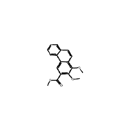 COC(=O)c1cc2c(ccc3ccccc32)c(OC)c1OC